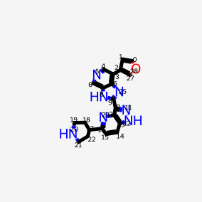 c1cc(-c2cncc3[nH]c(-c4n[nH]c5ccc(C6CCNCC6)nc45)nc23)co1